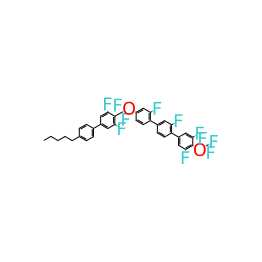 CCCCCc1ccc(-c2cc(F)c(C(F)(F)Oc3ccc(-c4ccc(-c5cc(F)c(OC(F)(F)F)c(F)c5)c(F)c4)c(F)c3)c(F)c2)cc1